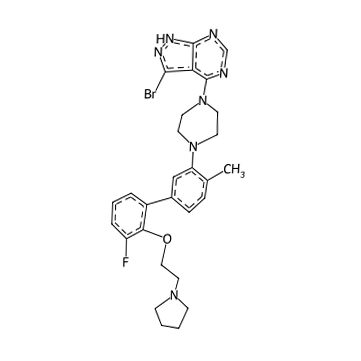 Cc1ccc(-c2cccc(F)c2OCCN2CCCC2)cc1N1CCN(c2ncnc3[nH]nc(Br)c23)CC1